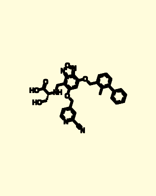 Cc1c(COc2cc(OCc3ccnc(C#N)c3)c(CN[C@H](CO)C(=O)O)c3nonc23)cccc1-c1ccccc1